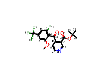 COc1cc(C(F)(F)F)cc(F)c1C(=O)c1ccncc1C(=O)OC(C)(C)C